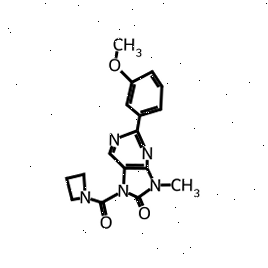 COc1cccc(-c2ncc3c(n2)n(C)c(=O)n3C(=O)N2CCC2)c1